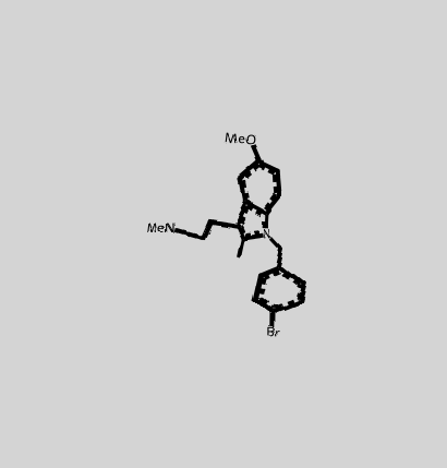 CNCCc1c(C)n(Cc2ccc(Br)cc2)c2ccc(OC)cc12